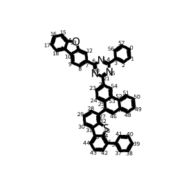 c1ccc(-c2nc(-c3ccc4c(c3)oc3ccccc34)nc(-c3ccc4c(-c5cccc6c5sc5c(-c7ccccc7)cccc56)cc5ccccc5c4c3)n2)cc1